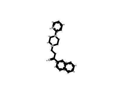 O=C(CCN1CCN(c2ccccn2)CC1)c1ccc2ccccc2c1